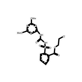 COc1nc(NC(=O)NS(=O)(=O)c2ccccc2C(=O)OCCCl)nc(OC)n1